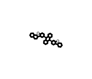 c1ccc2c(c1)ccc1c3cc(-c4c5ccccc5c(-c5ccc6c(c5)oc5ccccc56)c5ccccc45)ccc3oc21